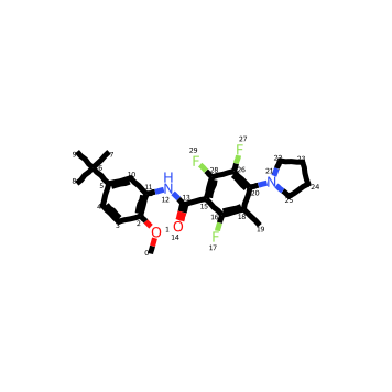 COc1ccc(C(C)(C)C)cc1NC(=O)c1c(F)c(C)c(N2CCCC2)c(F)c1F